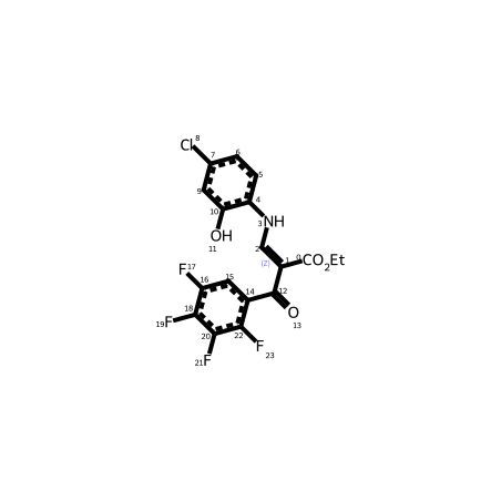 CCOC(=O)/C(=C\Nc1ccc(Cl)cc1O)C(=O)c1cc(F)c(F)c(F)c1F